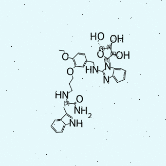 CCOc1ccc(CNc2nc3ccccc3n2[C@@H]2O[C@H](CO)[C@@H](O)[C@H]2O)cc1OCCCN[C@@H](Cc1c[nH]c2ccccc12)C(N)=O